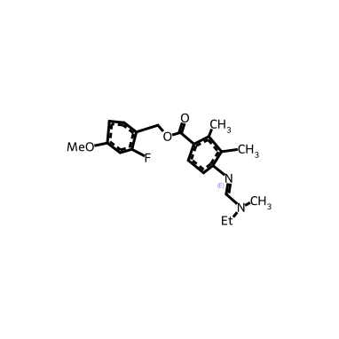 CCN(C)/C=N/c1ccc(C(=O)OCc2ccc(OC)cc2F)c(C)c1C